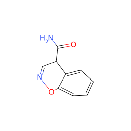 NC(=O)C1C=NOc2ccccc21